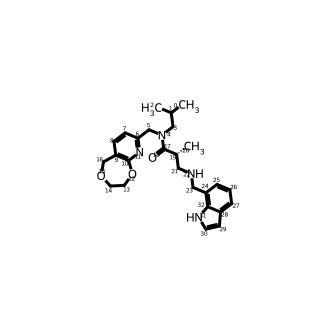 CC(C)CN(Cc1ccc2c(n1)OCCOC2)C(=O)[C@H](C)CNCc1cccc2cc[nH]c12